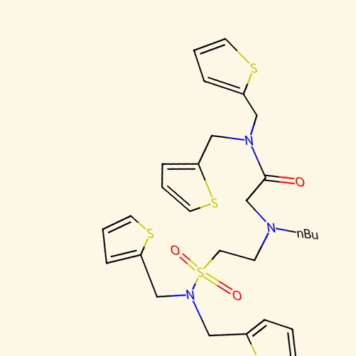 CCCCN(CCS(=O)(=O)N(Cc1cccs1)Cc1cccs1)CC(=O)N(Cc1cccs1)Cc1cccs1